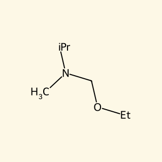 CCOCN(C)C(C)C